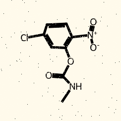 CNC(=O)Oc1cc(Cl)ccc1[N+](=O)[O-]